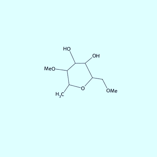 COCC1OC(C)C(OC)C(O)C1O